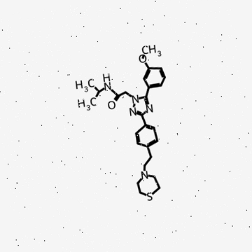 COc1cccc(-c2nc(-c3ccc(CCN4CCSCC4)cc3)nn2CC(=O)NC(C)C)c1